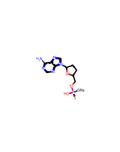 COP(O)(=S)OCC1CCC(n2cnc3c(N)ncnc32)O1